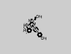 C[C@H](Nc1nc(N2CCN(c3ccc(O)cc3)CC2)nc2c1ncn2CCO)c1ccccc1